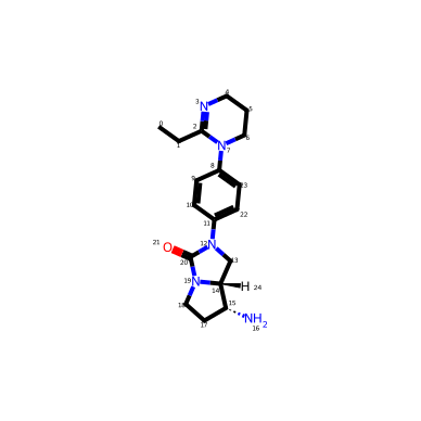 CCC1=NCCCN1c1ccc(N2C[C@@H]3[C@H](N)CCN3C2=O)cc1